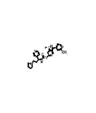 Cc1cc(-c2n[nH]c3cc(NC(=O)NC(CCN4CCCC4)c4ccncc4)ncc23)ccn1